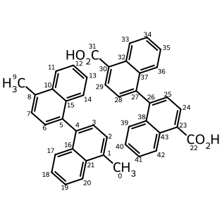 Cc1ccc(-c2ccc(C)c3ccccc23)c2ccccc12.O=C(O)c1ccc(-c2ccc(C(=O)O)c3ccccc23)c2ccccc12